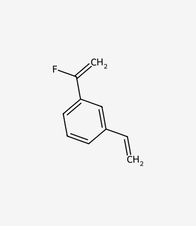 C=Cc1cccc(C(=C)F)c1